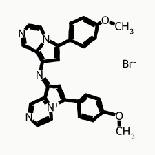 COc1ccc(C2=C/C(=N\c3cc(-c4ccc(OC)cc4)n4ccncc34)c3cncc[n+]32)cc1.[Br-]